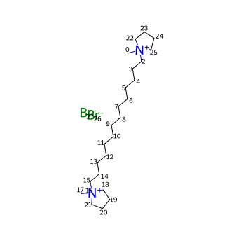 C[N+]1(CCCCCCCCCCCCCC[N+]2(C)CCCC2)CCCC1.[Br-].[Br-]